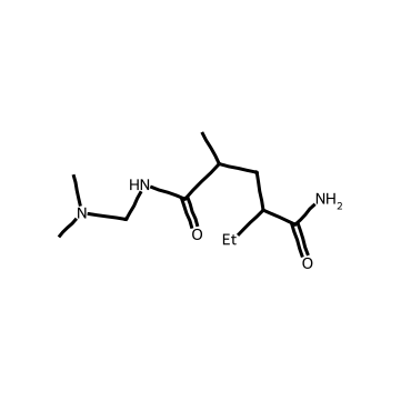 CCC(CC(C)C(=O)NCN(C)C)C(N)=O